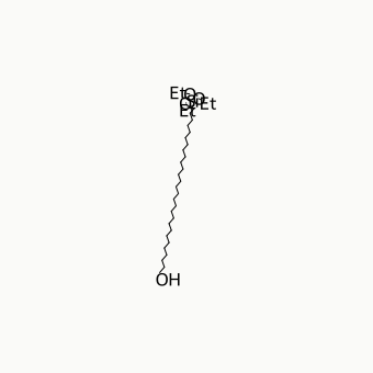 CCO[Si](CCCCCCCCCCCCCCCCCCCCCCCCCCCCO)(OCC)OCC